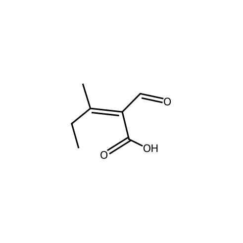 CCC(C)=C(C=O)C(=O)O